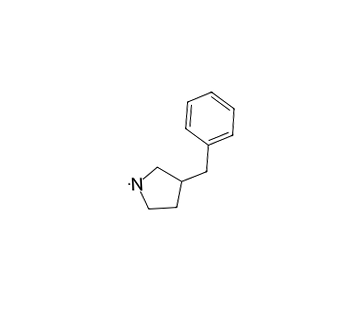 c1ccc(CC2CC[N]C2)cc1